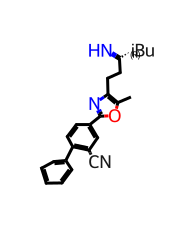 CC[C@@H](C)C(=N)CCc1nc(-c2ccc(-c3ccccc3)c(C#N)c2)oc1C